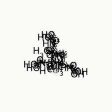 COC(=O)C(CCCNC(=O)C(CO)CO)N1CCN(C(C)CCCNC(=O)C(CO)CO)Cc2cccc(n2)CN(C(CCCNC(=O)C(CO)CO)C(=O)OC)CC1